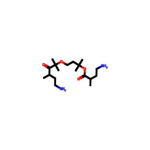 CC(CCN)C(=O)OC(C)(C)CCOC(C)(C)C(=O)C(C)CCN